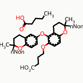 CCCCC(=O)O.CCCCCCCCCC1(C)CCc2cc(Oc3c(OCCCC(=O)O)ccc4c3CCC(C)(CCCCCCCCC)O4)ccc2O1